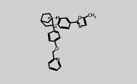 Cc1cnc(-c2ccc([C@]3(c4ccc(OCc5ccccn5)cc4)CC4CC[C@@H]3C4)cc2)o1